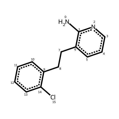 Nc1ncccc1CCc1ccccc1Cl